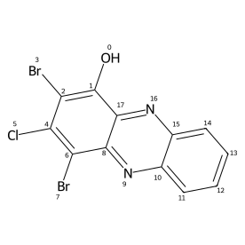 Oc1c(Br)c(Cl)c(Br)c2nc3ccccc3nc12